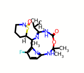 CC1(C)Nc2ccc(F)c(n2)[C@@]2(C)N=C(NC(=O)O1)C(C)(C)[S@]1(=O)=NCCC[C@H]21